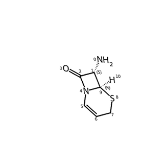 N[C@H]1C(=O)N2C=CCS[C@H]12